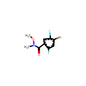 CON(C)C(=O)c1cc(F)c(Br)cc1F